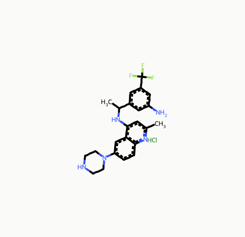 Cc1cc(NC(C)c2cc(N)cc(C(F)(F)F)c2)c2cc(N3CCNCC3)ccc2n1.Cl